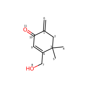 C=C1CC(C)(C)C(CO)=CC1=O